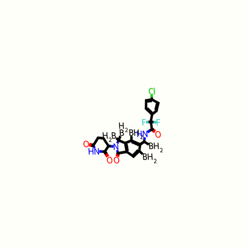 Bc1cc2c(c(B)c1C(B)NC(=O)C(F)(F)c1ccc(Cl)cc1)C(B)(B)N(C1CCC(=O)NC1=O)C2=O